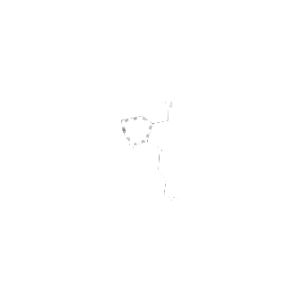 CSCCNc1ncccc1C[NH]